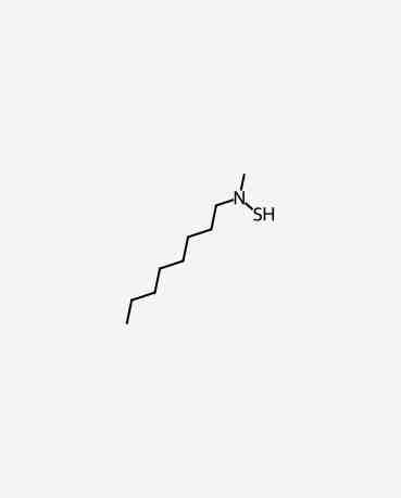 CCCCCCCCN(C)S